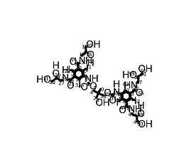 CC(CO)(COC(=O)Nc1c(I)c(C(=O)NCC(O)CO)c(I)c(C(=O)NCC(O)CO)c1I)COC(=O)Nc1c(I)c(C(=O)NCC(O)CO)c(I)c(C(=O)NCC(O)CO)c1I